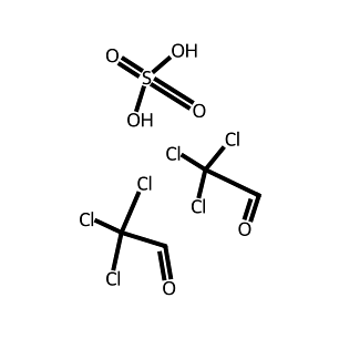 O=CC(Cl)(Cl)Cl.O=CC(Cl)(Cl)Cl.O=S(=O)(O)O